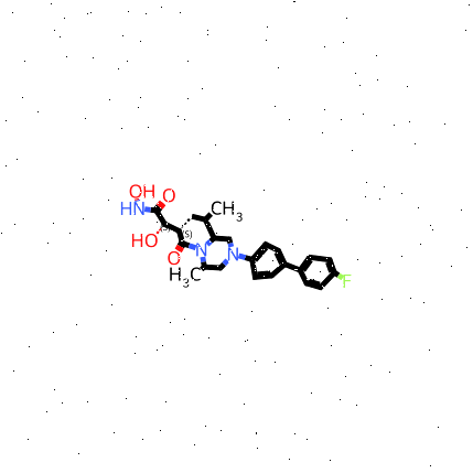 CC1C[C@@H]([C@H](O)C(=O)NO)C(=O)N2C(C)CN(c3ccc(-c4ccc(F)cc4)cc3)CC12